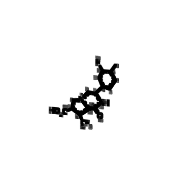 Cc1ccc(-c2cn3cc(C(=O)O)c(C(F)(F)F)c3c(=O)[nH]2)cc1F